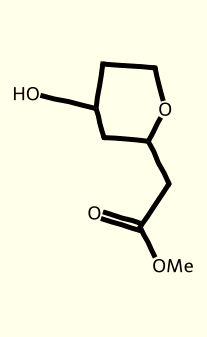 COC(=O)CC1CC(O)CCO1